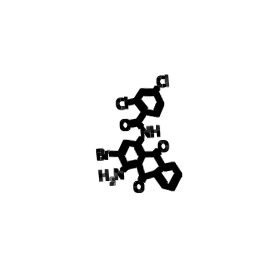 Nc1c(Br)cc(NC(=O)c2ccc(Cl)cc2Cl)c2c1C(=O)c1ccccc1C2=O